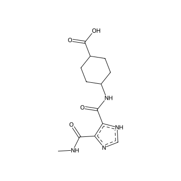 CNC(=O)c1nc[nH]c1C(=O)NC1CCC(C(=O)O)CC1